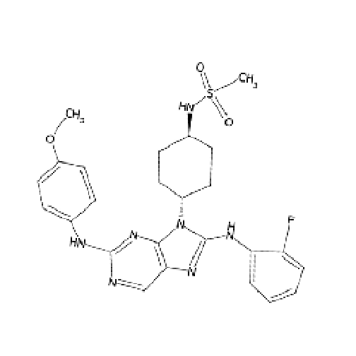 COc1ccc(Nc2ncc3nc(Nc4ccccc4F)n([C@H]4CC[C@H](NS(C)(=O)=O)CC4)c3n2)cc1